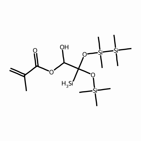 C=C(C)C(=O)OC(O)C([SiH3])(O[Si](C)(C)C)O[Si](C)(C)[Si](C)(C)C